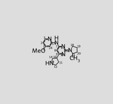 COc1ccnc(Nc2cc(C3CCNC3)nc(N3CCCC3C)n2)c1